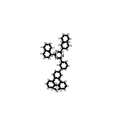 c1cc(-c2ccc3c(c2)c2cccc4sc5cccc3c5c42)cc(-c2nc(-c3ccc4ccccc4c3)nc(-c3cccc4ccccc34)n2)c1